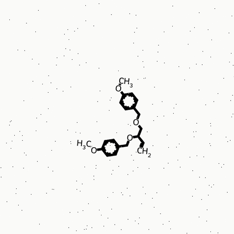 C=CC(COCc1ccc(OC)cc1)OCc1ccc(OC)cc1